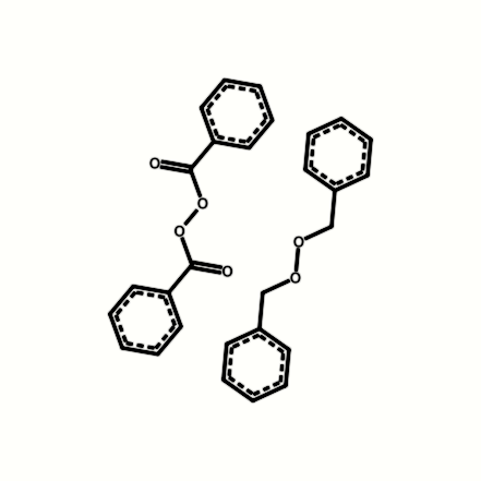 O=C(OOC(=O)c1ccccc1)c1ccccc1.c1ccc(COOCc2ccccc2)cc1